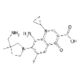 CC1(CN)CCN(c2c(F)cc3c(=O)c(C(=O)O)cn(C4CC4)c3c2N)C1